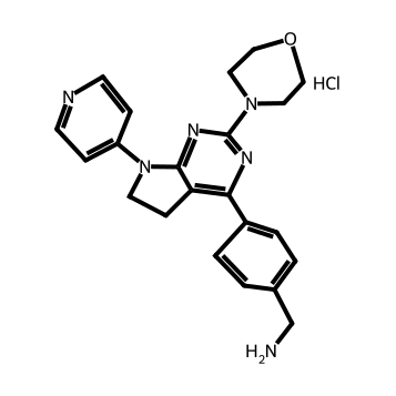 Cl.NCc1ccc(-c2nc(N3CCOCC3)nc3c2CCN3c2ccncc2)cc1